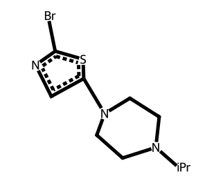 CC(C)N1CCN(c2cnc(Br)s2)CC1